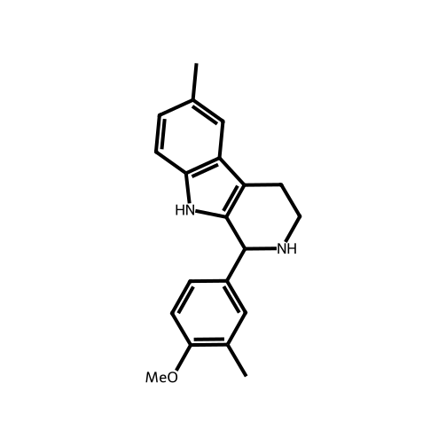 COc1ccc(C2NCCc3c2[nH]c2ccc(C)cc32)cc1C